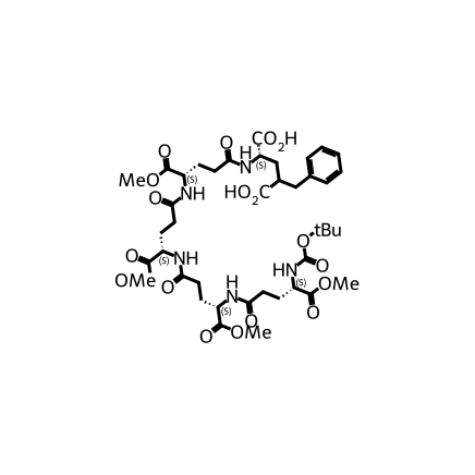 COC(=O)[C@H](CCC(=O)N[C@@H](CC(Cc1ccccc1)C(=O)O)C(=O)O)NC(=O)CC[C@H](NC(=O)CC[C@H](NC(=O)CC[C@H](NC(=O)OC(C)(C)C)C(=O)OC)C(=O)OC)C(=O)OC